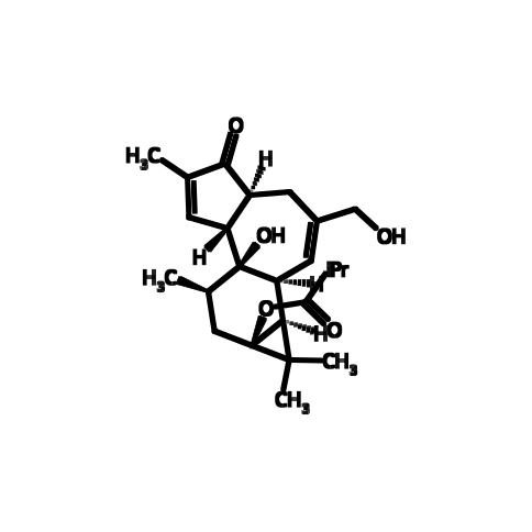 CC1=C[C@@H]2[C@H](CC(CO)=C[C@H]3[C@H]4C(C)(C)[C@]4(OC(=O)C(C)C)C[C@@H](C)[C@]23O)C1=O